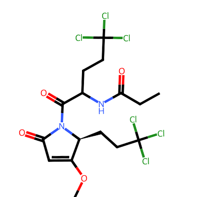 CCC(=O)NC(CCC(Cl)(Cl)Cl)C(=O)N1C(=O)C=C(OC)[C@@H]1CCC(Cl)(Cl)Cl